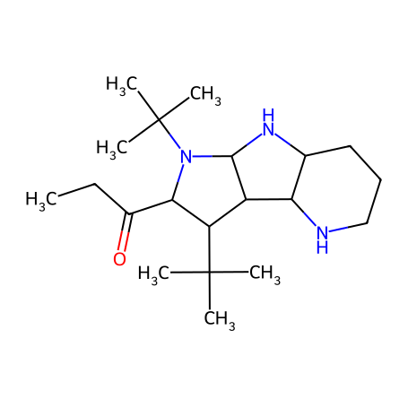 CCC(=O)C1C(C(C)(C)C)C2C3NCCCC3NC2N1C(C)(C)C